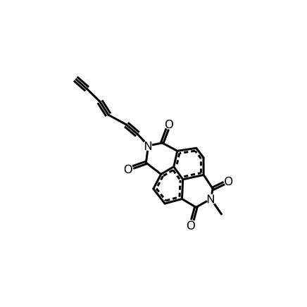 C#CC#CC#CN1C(=O)c2ccc3c4c(ccc(c24)C1=O)C(=O)N(C)C3=O